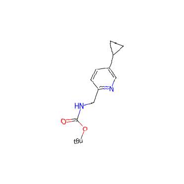 CC(C)(C)OC(=O)NCc1ccc(C2CC2)cn1